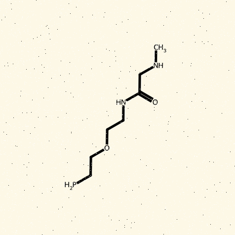 CNCC(=O)NCCOCCP